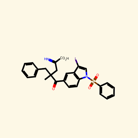 CC(CC(=N)C(=O)O)(Cc1ccccc1)C(=O)c1ccc2c(c1)c(I)cn2S(=O)(=O)c1ccccc1